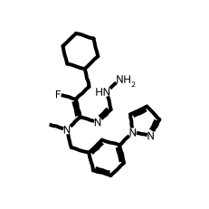 CN(Cc1cccc(-n2cccn2)c1)C(/N=C\NN)=C(\F)CC1CCCCC1